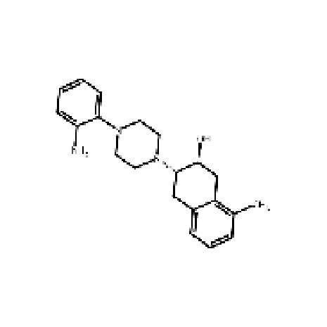 Cc1cccc2c1C[C@H](O)[C@@H](N1CCN(c3ccccc3N)CC1)C2